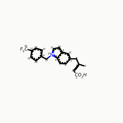 CC(=CC(=O)O)Cc1ccc2c(ccn2Cc2ccc(C(F)(F)F)cc2)c1